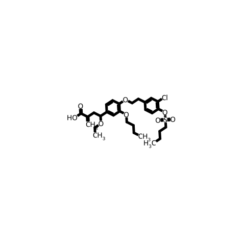 C=C(CC(OCC)c1ccc(OCCc2ccc(OS(=O)(=O)CCCC)c(Cl)c2)c(OCCCC)c1)C(=O)O